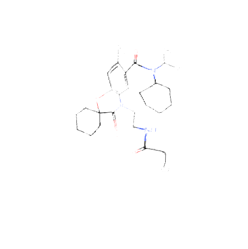 CCC(=O)NCCN1C(=O)C2(CCCCC2)Oc2cc(C)c(C(=O)N(C(C)C)C3CCCCC3)cc21